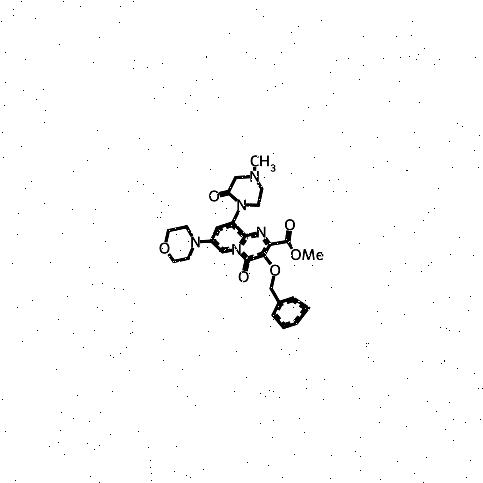 COC(=O)c1nc2c(N3CCN(C)CC3=O)cc(N3CCOCC3)cn2c(=O)c1OCc1ccccc1